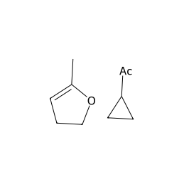 CC(=O)C1CC1.CC1=CCCO1